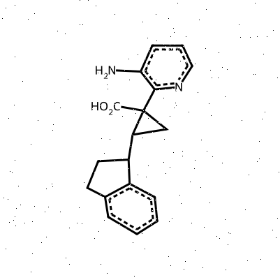 Nc1cccnc1C1(C(=O)O)CC1C1CCc2ccccc21